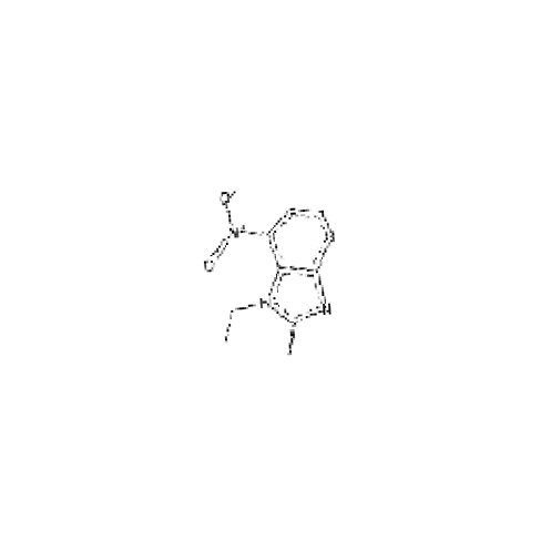 CCn1c(C)nc2cccc([N+](=O)[O-])c21